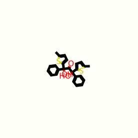 Cc1ccc(C(O)(C(=O)C(O)(c2ccccc2)c2ccc(C)s2)c2ccccc2)s1